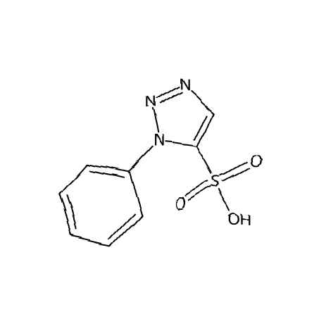 O=S(=O)(O)c1cnnn1-c1ccccc1